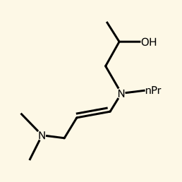 CCCN(/C=C/CN(C)C)CC(C)O